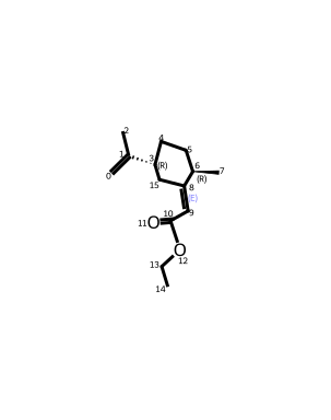 C=C(C)[C@@H]1CC[C@@H](C)/C(=C/C(=O)OCC)C1